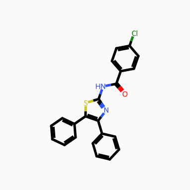 O=C(Nc1nc(-c2ccccc2)c(-c2ccccc2)s1)c1ccc(Cl)cc1